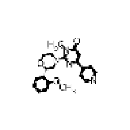 COc1ccccc1[C@H]1CN(c2nc(-c3ccncc3)cc(=O)n2C)CCO1